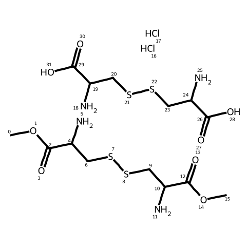 COC(=O)C(N)CSSCC(N)C(=O)OC.Cl.Cl.NC(CSSCC(N)C(=O)O)C(=O)O